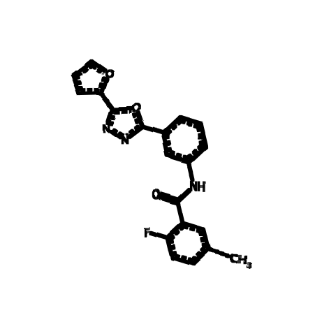 Cc1ccc(F)c(C(=O)Nc2cccc(-c3nnc(-c4ccco4)o3)c2)c1